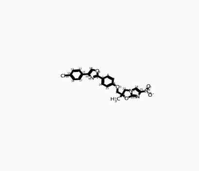 CC1(COc2ccc(-c3nc(-c4ccc(Cl)cc4)co3)cc2)Cn2cc([N+](=O)[O-])nc2O1